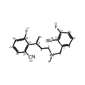 CC(CCN(C)Cc1cccc(F)c1C(C)(C)C)c1c(F)cccc1C#N